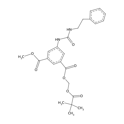 COC(=O)c1cc(NC(=O)NCCc2ccccc2)cc(C(=O)OCOC(=O)C(C)(C)C)c1